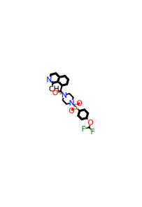 Cc1nccc2cccc(C(=O)N3CCN(S(=O)(=O)c4ccc(OC(F)F)cc4)CC3)c12